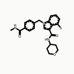 CNC(=O)c1ccc(Cn2cc(C(=O)NC3CCOCC3)c3c(F)cccc32)cc1